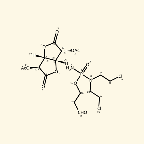 CC(=O)O[C@@H]1C(=O)O[C@@H]2[C@H]1OC(=O)[C@@H]2OC(C)=O.NP(=O)(OCCC=O)N(CCCl)CCCl